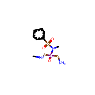 CNSP(=O)(SN)N(C)S(=O)(=O)c1ccccc1